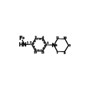 FNc1ccc(N2CCCCC2)cc1